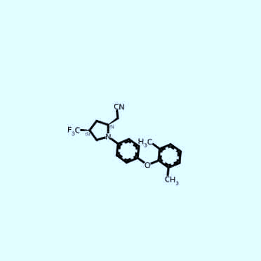 Cc1cccc(C)c1Oc1ccc(N2C[C@@H](C(F)(F)F)C[C@H]2CC#N)cc1